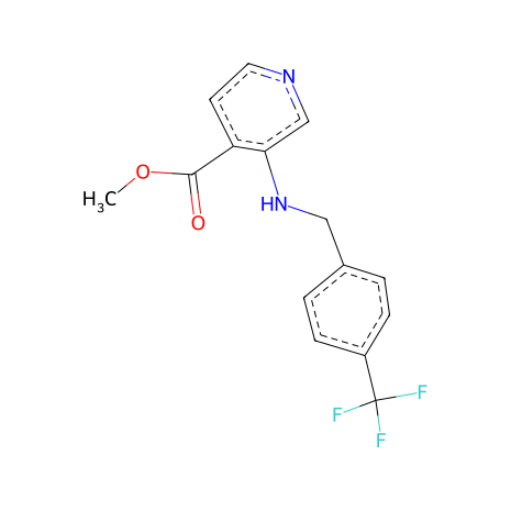 COC(=O)c1ccncc1NCc1ccc(C(F)(F)F)cc1